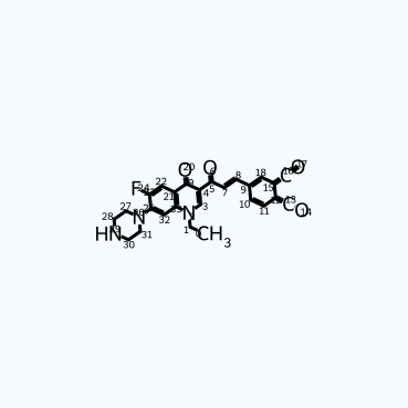 CCn1cc(C(=O)C=Cc2ccc(=C=O)c(=C=O)c2)c(=O)c2cc(F)c(N3CCNCC3)cc21